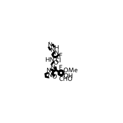 COc1c(O)c(C=O)cc(-c2cn(CC(=O)NC3=C(Cl)C(F)NC(N4CCN(C)CC4)=C3)c3nc4n(c(=O)c23)CCC4)c1F